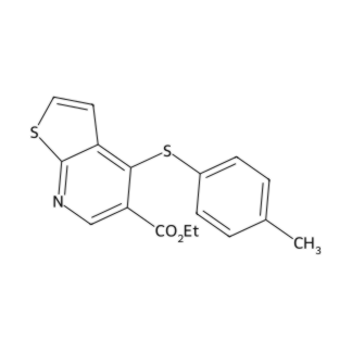 CCOC(=O)c1cnc2sccc2c1Sc1ccc(C)cc1